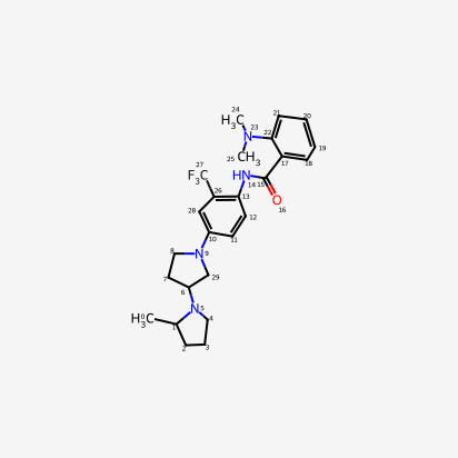 CC1CCCN1C1CCN(c2ccc(NC(=O)c3ccccc3N(C)C)c(C(F)(F)F)c2)C1